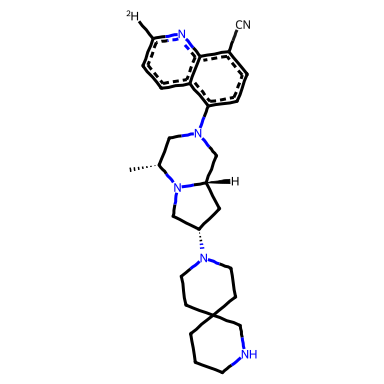 [2H]c1ccc2c(N3C[C@@H]4C[C@H](N5CCC6(CCCNC6)CC5)CN4[C@H](C)C3)ccc(C#N)c2n1